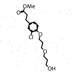 COC(=O)CCc1ccc(OCCCOCCCO)c(Cl)c1